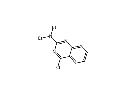 CCN(CC)c1nc(Cl)c2ccccc2n1